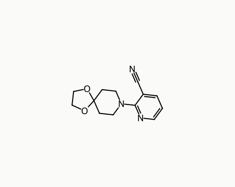 N#Cc1cccnc1N1CCC2(CC1)OCCO2